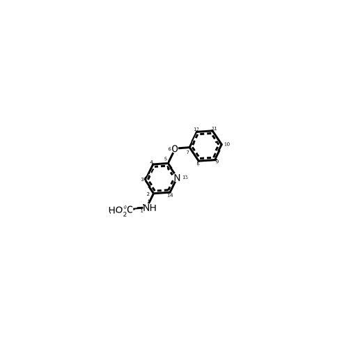 O=C(O)Nc1ccc(Oc2ccccc2)nc1